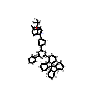 CC1C/C=C(C(C)(C)C)/C(c2ccc(-c3cc(-c4ccccc4)nc(-c4cccc5c4-c4ccccc4C54c5ccccc5-c5ccccc54)n3)cc2)=C\C=C/1C(C)(C)C